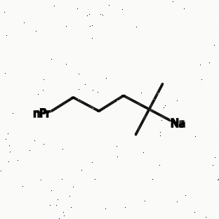 CCCCCC[C](C)(C)[Na]